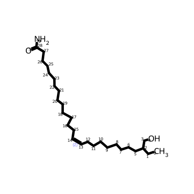 CCC(CO)CCCCCCCC/C=C\CCCCCCCCCCCCCC(N)=O